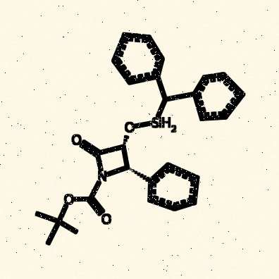 CC(C)(C)OC(=O)N1C(=O)[C@H](O[SiH2]C(c2ccccc2)c2ccccc2)[C@@H]1c1ccccc1